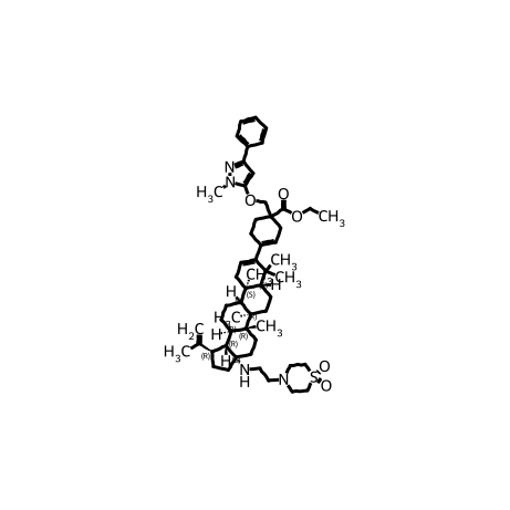 C=C(C)[C@@H]1CC[C@]2(NCCN3CCS(=O)(=O)CC3)CC[C@]3(C)[C@H](CC[C@@H]4[C@@]5(C)CC=C(C6=CCC(COc7cc(-c8ccccc8)nn7C)(C(=O)OCC)CC6)C(C)(C)[C@@H]5CC[C@]43C)[C@@H]12